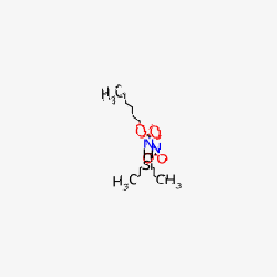 CCCCCCOC(=O)N=NC(=O)O[SiH](CCC)CCC